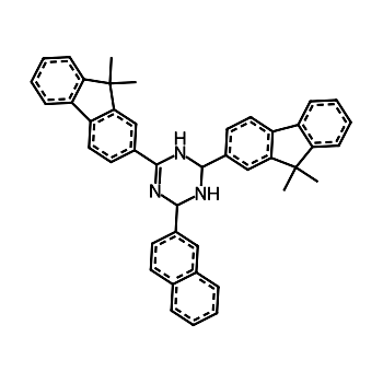 CC1(C)c2ccccc2-c2ccc(C3=NC(c4ccc5ccccc5c4)NC(c4ccc5c(c4)C(C)(C)c4ccccc4-5)N3)cc21